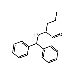 CCCC(NC(c1ccccc1)c1ccccc1)P=O